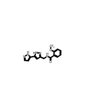 O=C(NCc1cc(-c2ccn[nH]2)[nH]n1)c1ccccc1OC(F)(F)F